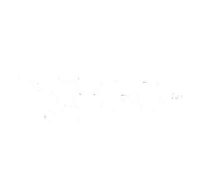 C/C=C/c1ccc(C2CCC(C3CCC(CCC)CC3)CC2)c(F)c1C(F)(F)F